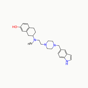 CCCN(CCN1CCN(Cc2ccc3[nH]ccc3c2)CC1)C1CCc2ccc(O)cc2C1